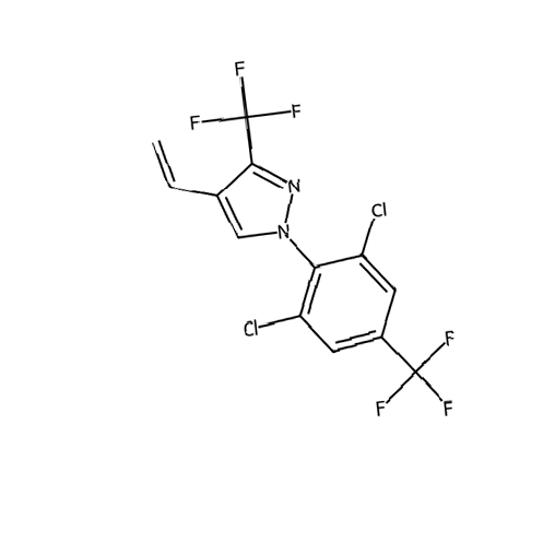 C=Cc1cn(-c2c(Cl)cc(C(F)(F)F)cc2Cl)nc1C(F)(F)F